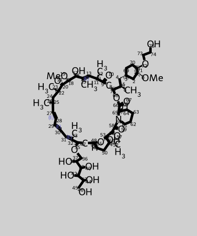 CO[C@@H]1C[C@H](C[C@@H](C)[C@@H]2CC(=O)[C@H](C)/C=C(\C)[C@@H](O)[C@@H](OC)C(=O)[C@H](C)C[C@H](C)/C=C/C=C/C=C(\C)C(OCC(O)C(O)C(O)C(O)CO)C[C@@H]3CC[C@@H](C)[C@@](O)(O3)C(=O)C(=O)N3CCCC[C@H]3C(=O)O2)CC[C@H]1OCCO